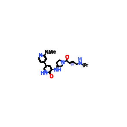 CNc1cc(-c2c[nH]c(=O)c(N[C@@H]3CCN(C(=O)/C=C/CNC(C)C)C3)c2)ccn1